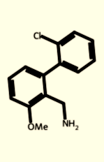 COc1cccc(-c2ccccc2Cl)c1CN